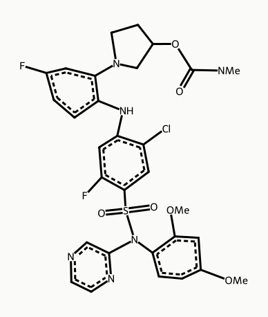 CNC(=O)OC1CCN(c2cc(F)ccc2Nc2cc(F)c(S(=O)(=O)N(c3cnccn3)c3ccc(OC)cc3OC)cc2Cl)C1